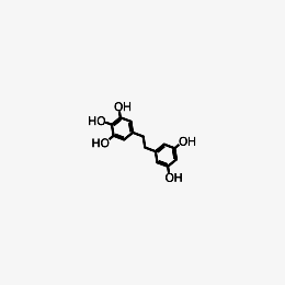 Oc1cc(O)cc(CCc2cc(O)c(O)c(O)c2)c1